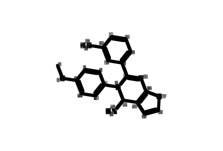 COc1ccc(N2C(c3cccc(N)c3)=Nc3occc3C2N)cc1